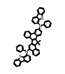 CC1(C)c2c(cc(N(c3ccccc3)c3cccc4c3sc3ccccc34)c3ccccc23)-c2c1c1ccc(N(c3ccccc3)c3cccc4c3sc3ccccc34)cc1c1ccccc21